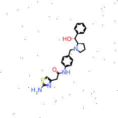 Nc1nc(CC(=O)Nc2ccc(CN3CCC[C@@H]3[C@H](O)c3ccccc3)cc2)cs1